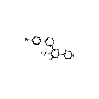 Cn1c(N2CCC=C(c3ccc(Br)cc3)C2)nc(-c2ccncn2)cc1=O